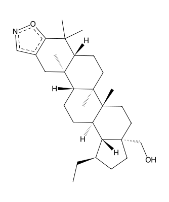 CC[C@@H]1CC[C@]2(CO)CC[C@]3(C)[C@H](CC[C@@H]4[C@@]5(C)Cc6cnoc6C(C)(C)[C@@H]5CC[C@]43C)[C@@H]12